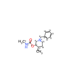 CNC(=O)OC1CN(Cc2ccccc2)CCC1C